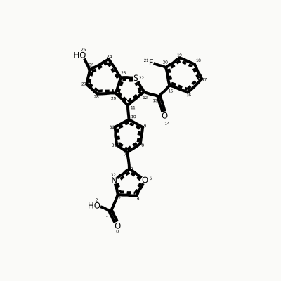 O=C(O)c1coc(-c2ccc(-c3c(C(=O)c4ccccc4F)sc4cc(O)ccc34)cc2)n1